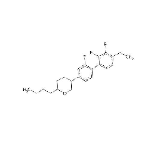 CCCCC1CCC(c2ccc(-c3ccc(CC)c(F)c3F)c(F)c2)CO1